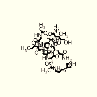 C=C(N/C=C\CSC1CNC1)[S+]([O-])C[C@H](NC(=O)CNC(=O)[C@@H](NC(=O)CNC(C)=O)[C@@H](C)CC)C(=O)N[C@@H](CCC(N)=O)C(=O)N1C[C@H](O)C[C@H]1C(=O)N[C@H](C(N)=O)[C@@H](C)[C@@H](O)CO